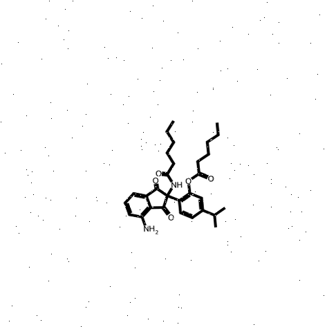 CCCCCC(=O)NC1(c2ccc(C(C)C)cc2OC(=O)CCCCC)C(=O)c2cccc(N)c2C1=O